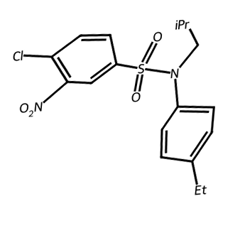 CCc1ccc(N(CC(C)C)S(=O)(=O)c2ccc(Cl)c([N+](=O)[O-])c2)cc1